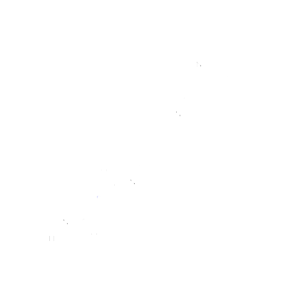 O=C(/C=C/C(=O)Nc1ccc(CN(CCO)C(=O)c2cccc3cccnc23)cc1)NO